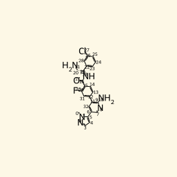 Cn1nccc1-c1cnc(N)c(-c2ccc(C(=O)N[C@H](CN)c3cccc(Cl)c3)c(F)c2)c1